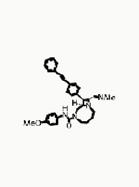 CNC[C@H]1[C@H](c2ccc(C#Cc3ccccc3)cc2)[C@@H]2CN(C(=O)Nc3ccc(OC)cc3)CCCCN12